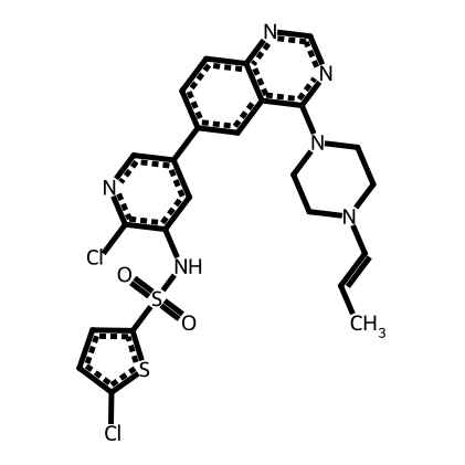 CC=CN1CCN(c2ncnc3ccc(-c4cnc(Cl)c(NS(=O)(=O)c5ccc(Cl)s5)c4)cc23)CC1